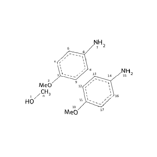 CO.COc1ccc(N)cc1.COc1ccc(N)cc1